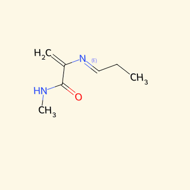 C=C(/N=C/CC)C(=O)NC